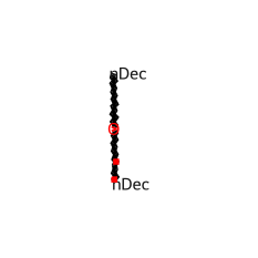 CCCCCCCCCCCCCCCCCCCCCCCCOCCCCCCCCCCCCCCCCCCCCCCCC